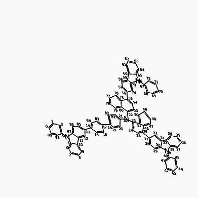 c1ccc(-n2c3ccccc3c3cc(-c4ccc(-c5ccc(N(c6ccc(-c7ccc8c(c7)c7ccccc7n8-c7ccccc7)c7ccccc67)c6ccc(-c7ccc8c9ccccc9n(-c9ccccc9)c8c7)c7ccccc67)cc5)cc4)ccc32)cc1